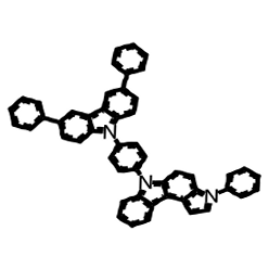 c1ccc(-c2ccc3c(c2)c2cc(-c4ccccc4)ccc2n3-c2ccc(-n3c4ccccc4c4c5ccn(-c6ccccc6)c5ccc43)cc2)cc1